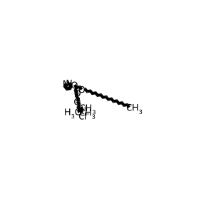 CCCCCCCCCCCCCCCCCCOCC(COCCOCC[N+](C)(C)C)Oc1cccnn1.[Cl-]